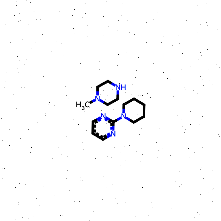 CN1CCNCC1.c1cnc(N2CCCCC2)nc1